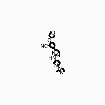 Cc1nccn1-c1ccc(Nc2nccc(-c3ccc(OC4CCOCC4)c(C#N)c3)n2)cn1